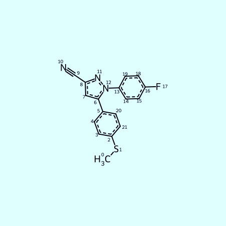 CSc1ccc(-c2cc(C#N)nn2-c2ccc(F)cc2)cc1